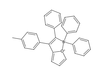 Cc1ccc(C2=C(c3ccccc3)[B-](c3ccccc3)(c3ccccc3)[o+]3cccc32)cc1